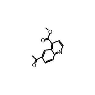 COC(=O)c1ccnc2ccc(C(C)=O)cc12